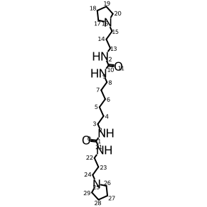 O=C(NCCCCCCNC(=O)NCCCN1CCCC1)NCCCN1CCCC1